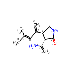 C=C(N)[C@H]1C(=O)NC[C@@H]1C(=C)C=C(C)C